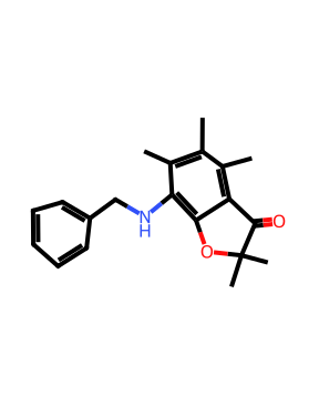 Cc1c(C)c(NCc2ccccc2)c2c(c1C)C(=O)C(C)(C)O2